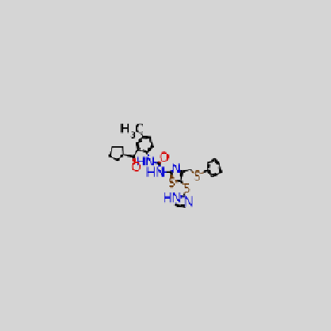 Cc1ccc(NC(=O)Nc2nc(CSc3ccccc3)c(Sc3ncc[nH]3)s2)c(C(=O)C2CCCC2)c1